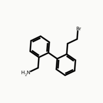 NCc1ccccc1-c1ccccc1CCBr